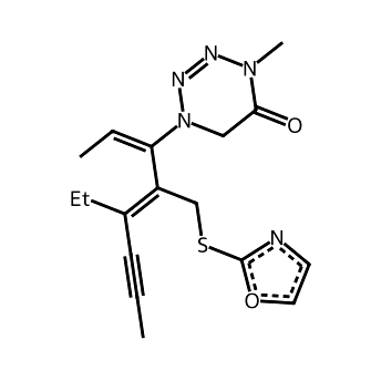 CC#C/C(CC)=C(CSc1ncco1)/C(=C\C)N1CC(=O)N(C)N=N1